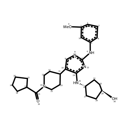 COc1cccc(Nc2ncc(C3CCN(C(=O)C4CCCC4)CC3)c(N[C@H]3CC[C@H](O)CC3)n2)c1